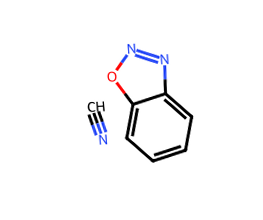 C#N.c1ccc2onnc2c1